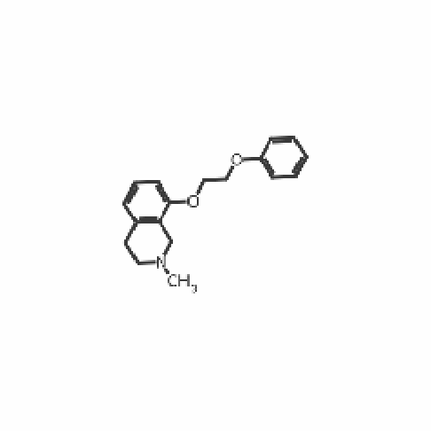 CN1CCc2cccc(OCCOc3ccccc3)c2C1